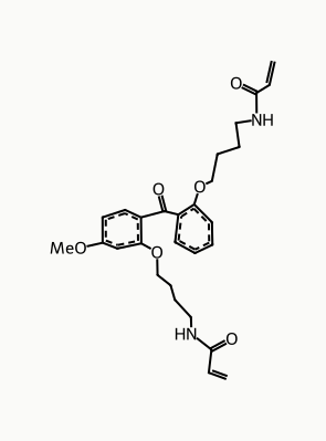 C=CC(=O)NCCCCOc1ccccc1C(=O)c1ccc(OC)cc1OCCCCNC(=O)C=C